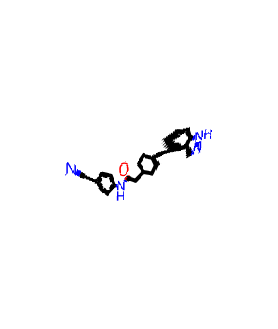 N#Cc1ccc(NC(=O)CC2CCC(c3cccc4[nH]ncc34)CC2)cc1